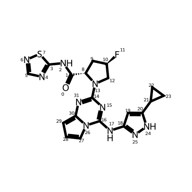 O=C(Nc1ncns1)[C@@H]1C[C@@H](F)CN1c1nc(Nc2cc(C3CC3)[nH]n2)n2cccc2n1